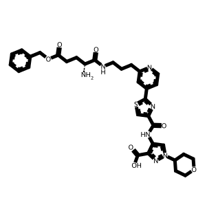 N[C@H](CCC(=O)OCc1ccccc1)C(=O)NCCCc1cc(-c2nc(C(=O)Nc3cn(C4CCOCC4)nc3C(=O)O)cs2)ccn1